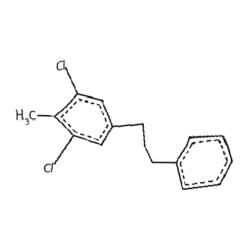 Cc1c(Cl)cc(CCc2ccccc2)cc1Cl